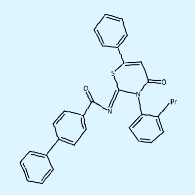 CC(C)c1ccccc1-n1c(=O)cc(-c2ccccc2)sc1=NC(=O)c1ccc(-c2ccccc2)cc1